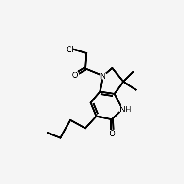 CCCCc1cc2c([nH]c1=O)C(C)(C)CN2C(=O)CCl